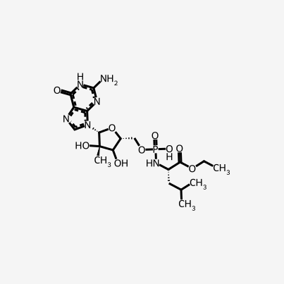 CCOC(=O)[C@H](CC(C)C)NP(=O)(O)OC[C@H]1O[C@@H](n2cnc3c(=O)[nH]c(N)nc32)[C@@](C)(O)C1O